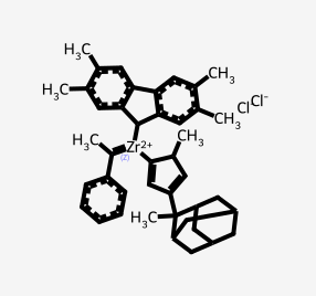 C/[C](c1ccccc1)=[Zr+2](/[C]1=CC(C2(C)C3CC4CC(C3)CC2C4)=CC1C)[CH]1c2cc(C)c(C)cc2-c2cc(C)c(C)cc21.[Cl-].[Cl-]